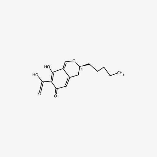 CCCCC[C@H]1CC2=CC(=O)C(C(=O)O)=C(O)C2=CO1